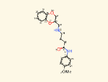 COc1ccc(NC(=O)CCCNCC2COc3ccccc3O2)cc1